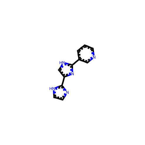 c1cncc(-c2nc(-c3ncc[nH]3)c[nH]2)c1